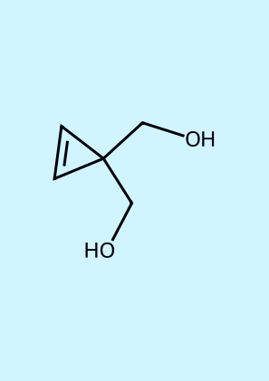 OCC1(CO)C=C1